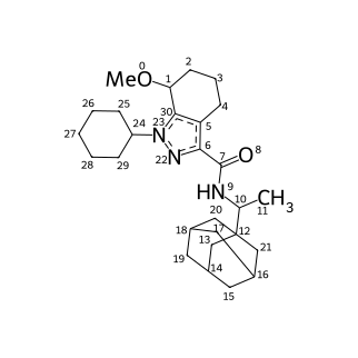 COC1CCCc2c(C(=O)NC(C)C34CC5CC(CC(C5)C3)C4)nn(C3CCCCC3)c21